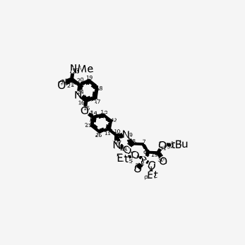 CCOP(=O)(OCC)C(Cc1nc(-c2ccc(Oc3cccc(C(=O)NC)n3)cc2)no1)C(=O)OC(C)(C)C